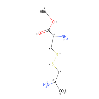 CCCCOC(=O)C(N)CSSCC(N)C(=O)O